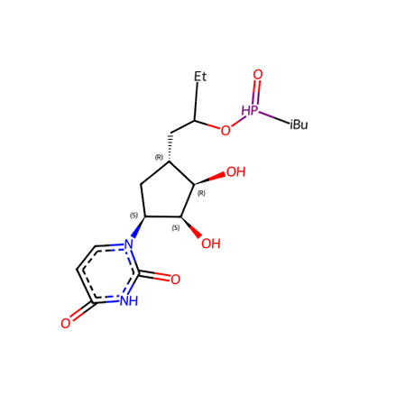 CCC(C[C@H]1C[C@H](n2ccc(=O)[nH]c2=O)[C@H](O)[C@@H]1O)O[PH](=O)C(C)CC